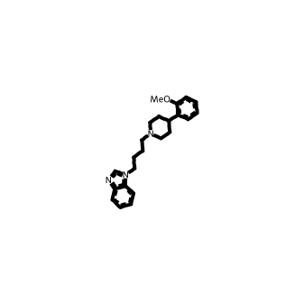 COc1ccccc1C1CCN(CCCCn2cnc3ccccc32)CC1